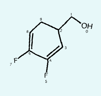 OCC1C=C(F)C(F)=CC1